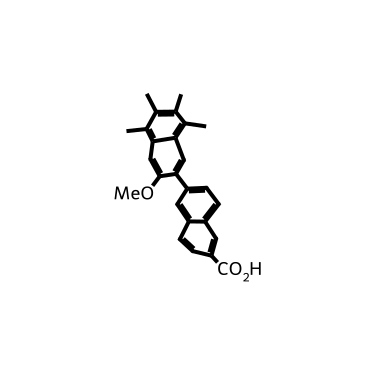 COc1cc2c(C)c(C)c(C)c(C)c2cc1-c1ccc2cc(C(=O)O)ccc2c1